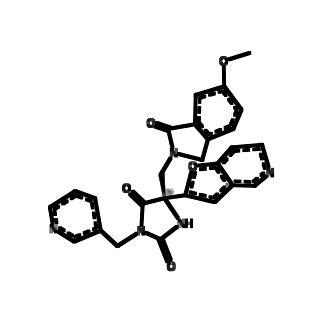 COc1ccc2c(c1)C(=O)N(C[C@@]1(c3cc4cnccc4o3)NC(=O)N(Cc3cccnc3)C1=O)C2